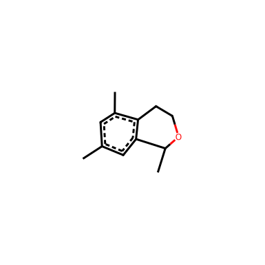 Cc1cc(C)c2c(c1)C(C)OCC2